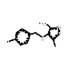 Cc1n[nH]c(C(=O)O)c1NCc1ccc(F)cc1